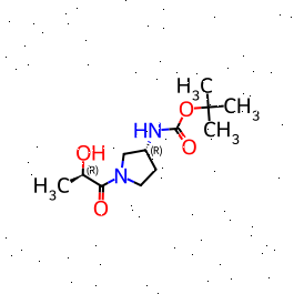 C[C@@H](O)C(=O)N1CC[C@@H](NC(=O)OC(C)(C)C)C1